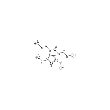 O=Cc1ccc(CO)o1.OCCCOCCCO